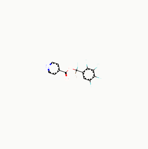 O=C(OC(F)(Br)c1cc(F)c(F)c(F)c1F)c1ccncc1